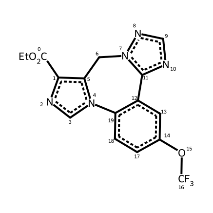 CCOC(=O)c1ncn2c1Cn1ncnc1-c1cc(OC(F)(F)F)ccc1-2